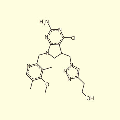 COc1c(C)cnc(CN2CC(Cn3cc(CCO)nn3)c3c(Cl)nc(N)nc32)c1C